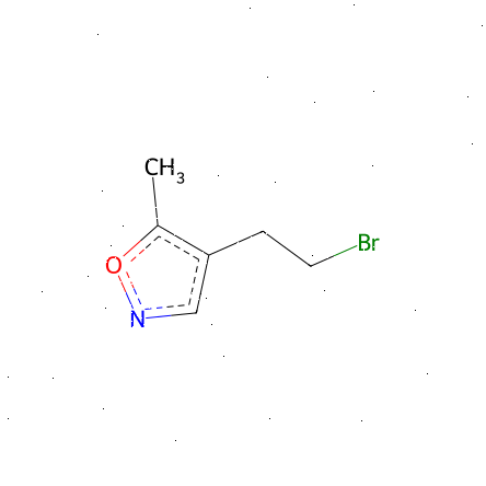 Cc1oncc1CCBr